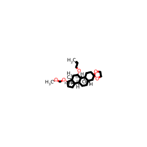 C=CCO[C@H]1C[C@]2(C)[C@@H](OCOC)CC[C@H]2[C@@H]2CC[C@H]3CC4(CC[C@]3(C)[C@H]21)OCCO4